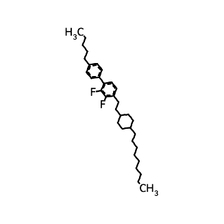 CCCCCCCCCC1CCC(CCc2ccc(-c3ccc(CCCCC)cc3)c(F)c2F)CC1